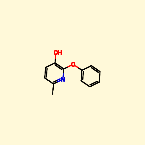 Cc1ccc(O)c(Oc2ccccc2)n1